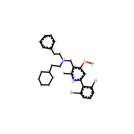 CCc1cccc(CC)c1-c1cc(OC(C)C)c(CN(CCc2ccccc2)CCC2CCCCC2)c(C)n1